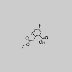 CCOC(=O)Cc1ncc(F)cc1C(=O)O